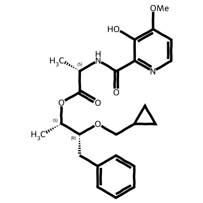 COc1ccnc(C(=O)N[C@@H](C)C(=O)O[C@@H](C)[C@@H](Cc2ccccc2)OCC2CC2)c1O